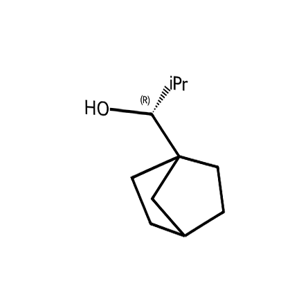 CC(C)[C@@H](O)C12CCC(CC1)C2